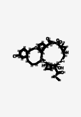 CN(C)C(=O)C[C@]1(O)CCC[C@@H]2C[C@@]2(C)S(=O)(=O)NC(=O)c2ccc3c(c2)N(CCCCc2cc(Cl)ccc2CO3)C[C@@H]2CC[C@H]21